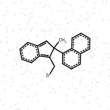 CC1(c2cccc3ccccc23)C=c2ccccc2=C1[CH2][Zr]